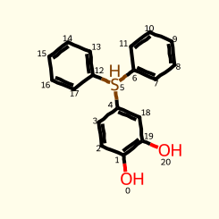 Oc1ccc([SH](c2ccccc2)c2ccccc2)cc1O